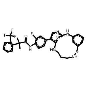 CC(C)(C(=O)Nc1ccc(-c2cnc3nc2NCCCNSc2cccc(c2)N3)cc1F)c1ccccc1C(F)(F)F